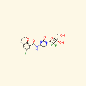 O=C(Nc1ccn(C2O[C@H](CO)[C@@H](O)C2(F)F)c(=O)n1)c1cc(F)cc2c1OCCC2